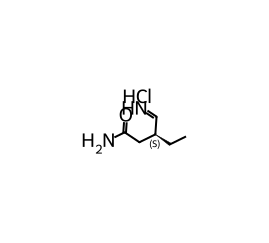 CC[C@H](C=N)CC(N)=O.Cl